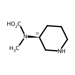 CN(C(=O)O)[C@H]1CCCNC1